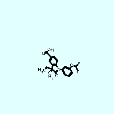 CCC1(C)C(=O)N(c2cccc(OC(F)F)c2)c2ccc(C(=O)O)cc21